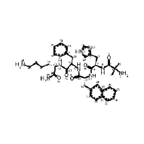 CC(C)(N)C(=O)N[C@H](Cc1c[nH]cn1)C(=O)N[C@H](Cc1ccc2ccccc2c1)C(=O)N[C@H](Cc1ccccc1)C(=O)N[C@@H](CCCCN)C(N)=O